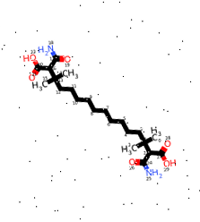 CC(C)(CCCCCCCCCCC(C)(C)C(C(N)=O)C(=O)O)C(C(N)=O)C(=O)O